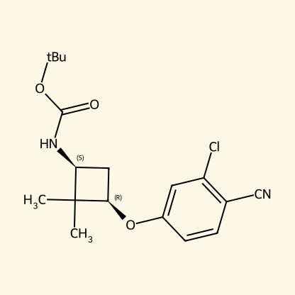 CC(C)(C)OC(=O)N[C@H]1C[C@@H](Oc2ccc(C#N)c(Cl)c2)C1(C)C